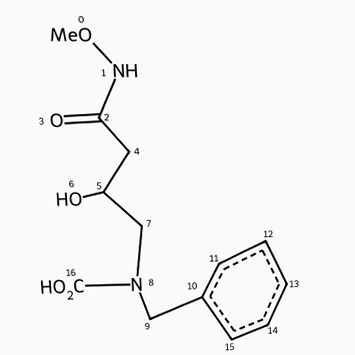 CONC(=O)CC(O)CN(Cc1ccccc1)C(=O)O